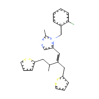 CCCCc1ncc(C=C(Cc2cccs2)C(Cc2cccs2)C(=O)O)n1Cc1ccccc1Cl